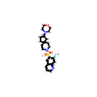 O=S(=O)(c1cc2cccnc2cc1F)N1CCC2(CCC(N3CCOCC3)C2)CC1